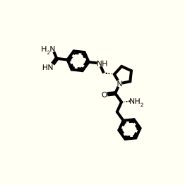 N=C(N)c1ccc(NC[C@@H]2CCCN2C(=O)[C@H](N)Cc2ccccc2)cc1